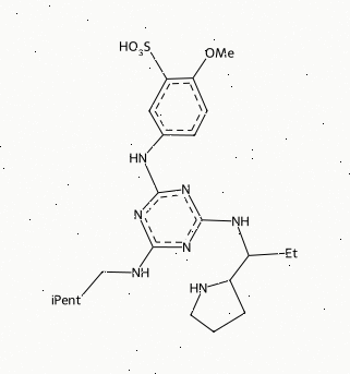 CCCC(C)CNc1nc(Nc2ccc(OC)c(S(=O)(=O)O)c2)nc(NC(CC)C2CCCN2)n1